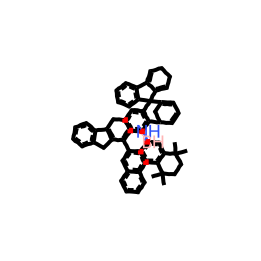 CC1(C)CCC(C)(C)c2cc(NC3=C(c4cc5ccccc5cc4Bc4cccc5c4C4C=CC=C(C4)C54C5=CCCC=C5c5ccccc54)C4=C(CC3)c3ccccc3C4)ccc21